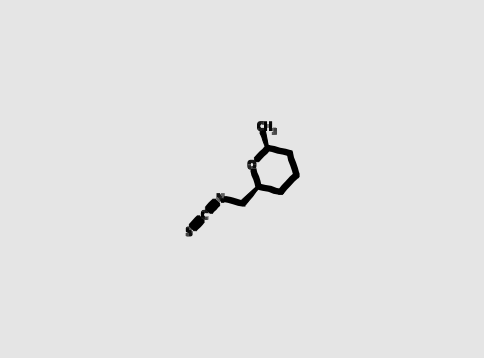 C[C@H]1CCC[C@@H](CN=C=S)O1